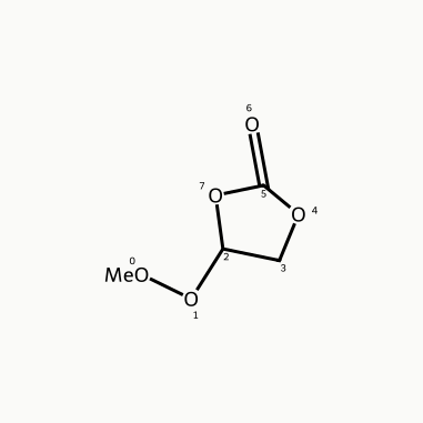 COOC1COC(=O)O1